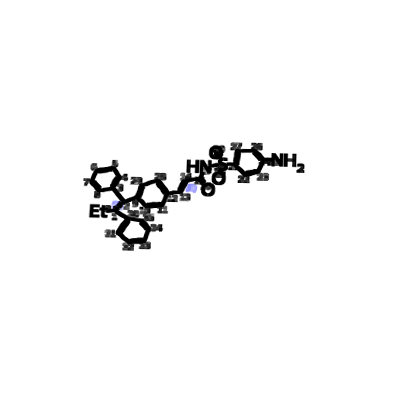 CC/C(=C(\c1ccccc1)c1ccc(/C=C/C(=O)NS(=O)(=O)c2ccc(N)cc2)cc1)c1ccccc1